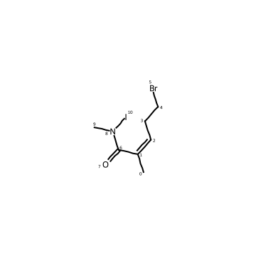 CC(=CCCBr)C(=O)N(C)I